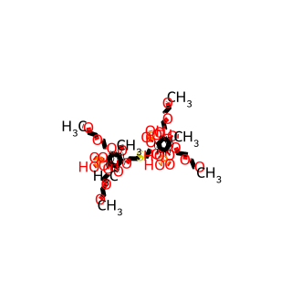 COCCOCCO[C@@H]1[C@@H](OC)[C@H](OCCOCCOC)[C@@H](OP(=O)(O)O)[C@@H](OCCSCCO[C@H]2[C@@H](OC)[C@H](OCCOCCOC)[C@@H](OP(=O)(O)O)[C@H](OCCOCCOC)[C@H]2OC)[C@H]1OP(=O)(O)O